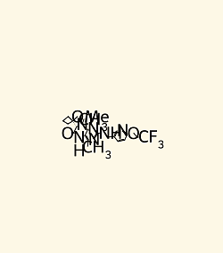 COC1([C@H]2C(=O)Nc3c(C)nc(NCc4ccc(OCC(F)(F)F)nc4)nc3N2C)CCC1